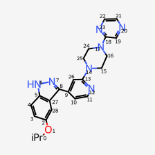 CC(C)Oc1ccc2[nH]nc(-c3ccnc(N4CCN(c5cnccn5)CC4)c3)c2c1